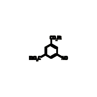 CCOC(=O)c1cc(N=O)cc(C(=O)OCC)c1